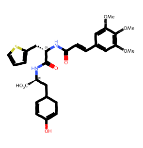 COc1cc(C=CC(=O)N[C@@H](Cc2cccs2)C(=O)N[C@@H](CC2C=CC(O)=CC2)C(=O)O)cc(OC)c1OC